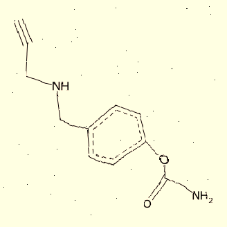 C#CCNCc1ccc(OC(N)=O)cc1